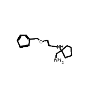 NCC1(NCCOCc2ccccc2)CCCC1